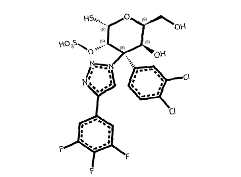 O=S(=O)(O)O[C@@H]1[C@H](S)O[C@@H](CO)[C@@H](O)[C@@]1(c1ccc(Cl)c(Cl)c1)n1cc(-c2cc(F)c(F)c(F)c2)nn1